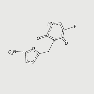 O=c1[nH]cc(F)c(=O)n1Cc1ccc([N+](=O)[O-])o1